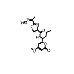 CCCC(NC(=O)C1CSC(/C(C)=N\O)=N1)c1cc(OC)cc(=O)o1